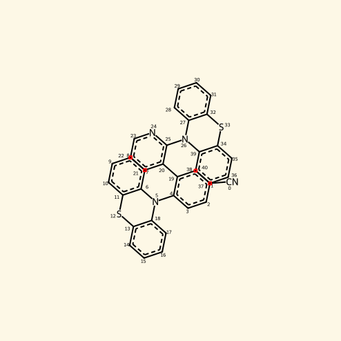 N#Cc1ccc(N2c3ccccc3Sc3ccccc32)c(-c2cccnc2N2c3ccccc3Sc3ccccc32)c1